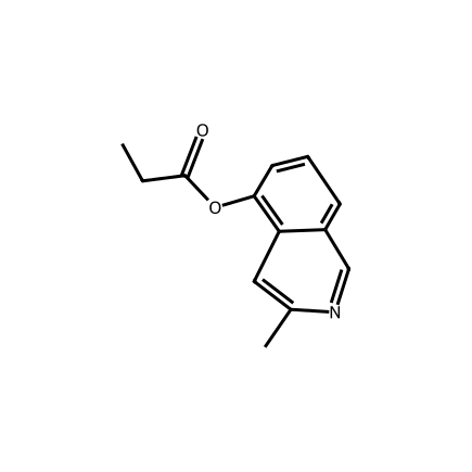 CCC(=O)Oc1cccc2cnc(C)cc12